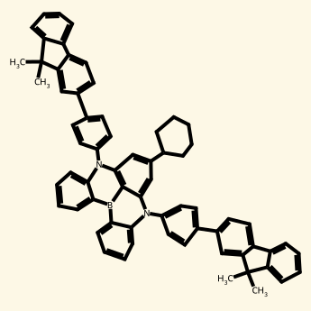 CC1(C)c2ccccc2-c2ccc(-c3ccc(N4c5ccccc5B5c6ccccc6N(c6ccc(-c7ccc8c(c7)C(C)(C)c7ccccc7-8)cc6)c6cc(C7CCCCC7)cc4c65)cc3)cc21